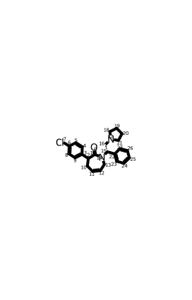 O=C1C(c2ccc(Cl)cc2)CC=CCN1[C@H](CN1CCCC1)c1ccccc1